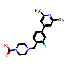 Cc1cc(-c2ccc(CN3CCN(C(=O)O)CC3)c(F)c2)cc(C)n1